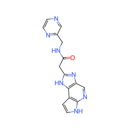 O=C(Cc1nc2cnc3[nH]ccc3c2[nH]1)NCc1cnccn1